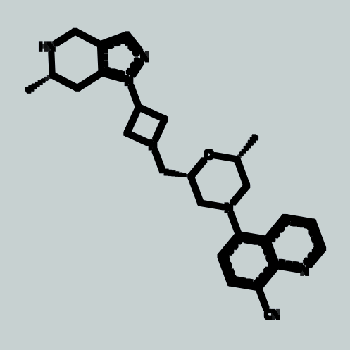 C[C@@H]1CN(c2ccc(C#N)c3ncccc23)C[C@H](CN2CC(n3ncc4c3C[C@H](C)NC4)C2)O1